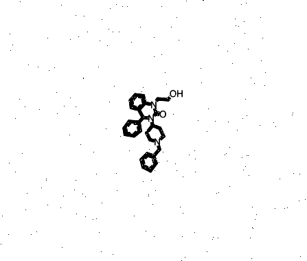 O=C1N(CCO)c2ccccc2C(c2ccccc2)N1C1CCN(Cc2ccccc2)CC1